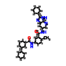 Cc1ccc(NC(=O)c2cccc(-c3ccccc3)c2)cc1C(=O)Nc1cnc2[nH]c(-c3ccccc3)nc2c1